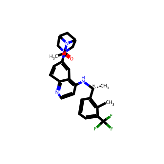 CC(=O)N1C2CC1CN(c1ccc3nccc(N[C@H](C)c4cccc(C(F)(F)F)c4C)c3c1)C2